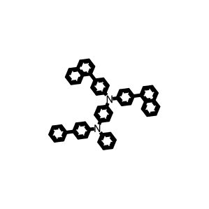 c1ccc(-c2ccc(N(c3ccccc3)c3ccc(N(c4ccc(-c5cccc6ccccc56)cc4)c4ccc(-c5cccc6ccccc56)cc4)cc3)cc2)cc1